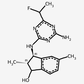 Cc1ccc2c(c1)[C@H](Nc1nc(N)nc(C(C)F)n1)[C@@H](C)C2O